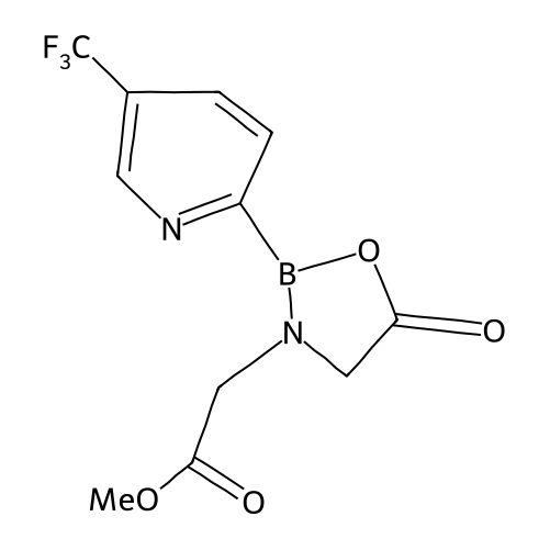 COC(=O)CN1CC(=O)OB1c1ccc(C(F)(F)F)cn1